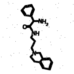 NC(C(=O)NCCCN1CCc2ccccc2C1)c1ccccc1